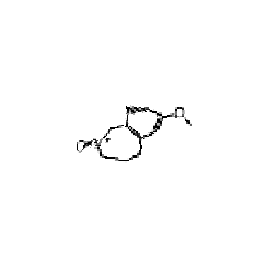 COc1ccc2c(c1)CCC[N+](=O)C2